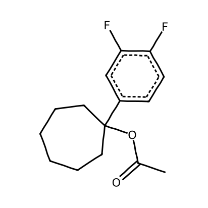 CC(=O)OC1(c2ccc(F)c(F)c2)CCCCCC1